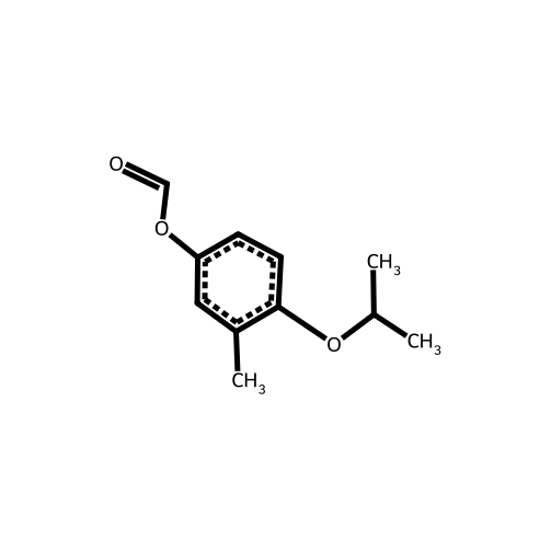 Cc1cc(OC=O)ccc1OC(C)C